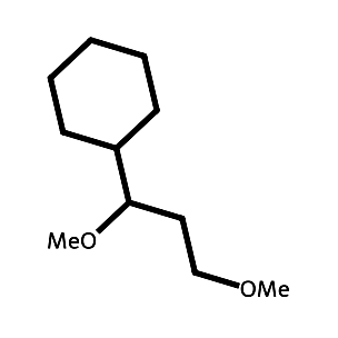 COCCC(OC)C1CCCCC1